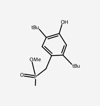 COP(C)(=O)Cc1cc(C(C)(C)C)c(O)cc1C(C)(C)C